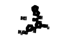 COc1cccc(Nc2cc(N)nc(C(=O)NC3Cc4ccccc4C3)c2)c1.Cl